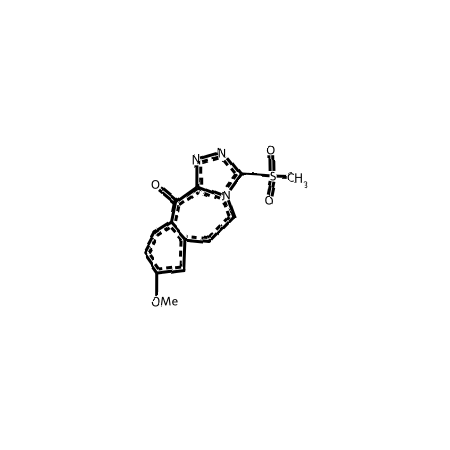 COc1ccc2c(=O)c3nnc(S(C)(=O)=O)n3ccc2c1